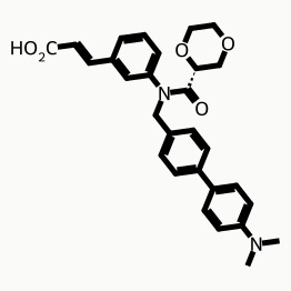 CN(C)c1ccc(-c2ccc(CN(C(=O)[C@H]3COCCO3)c3cccc(C=CC(=O)O)c3)cc2)cc1